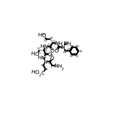 NCC(=O)N(CCC(=O)O)NC(=O)[C@H](CO)NC(=O)[C@H](CCO)NC(=O)N(N)Cc1ccccc1